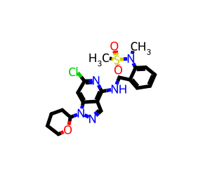 CN(c1ccccc1CNc1nc(Cl)cc2c1cnn2C1CCCCO1)S(C)(=O)=O